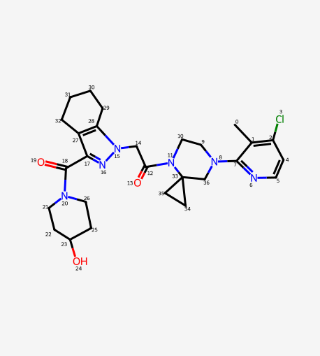 Cc1c(Cl)ccnc1N1CCN(C(=O)Cn2nc(C(=O)N3CCC(O)CC3)c3c2CCCC3)C2(CC2)C1